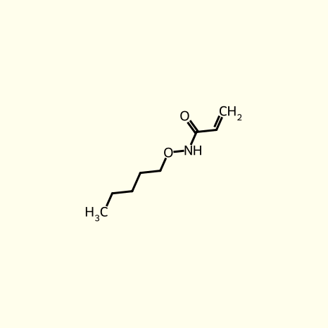 C=CC(=O)NOCCCCC